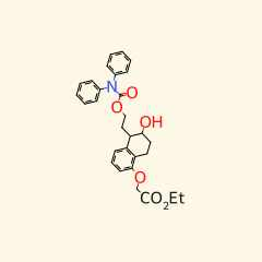 CCOC(=O)COc1cccc2c1CCC(O)C2CCOC(=O)N(c1ccccc1)c1ccccc1